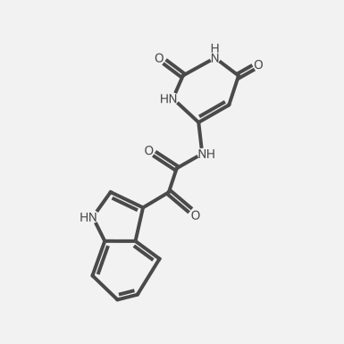 O=C(Nc1cc(=O)[nH]c(=O)[nH]1)C(=O)c1c[nH]c2ccccc12